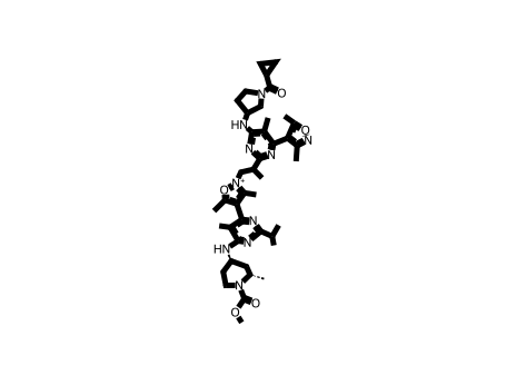 COC(=O)N1CC[C@H](Nc2nc(C(C)C)nc(-c3c(C)o[n+](CC(C)c4nc(NC5CCN(C(=O)C6CC6)C5)c(C)c(-c5c(C)noc5C)n4)c3C)c2C)C[C@@H]1C